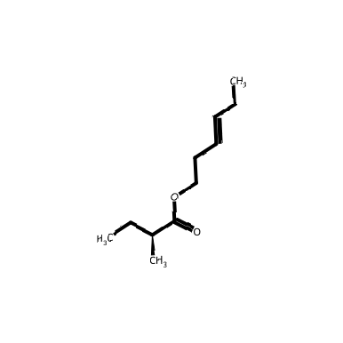 CCC=CCCOC(=O)[C@@H](C)CC